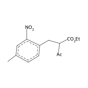 CCOC(=O)C(Cc1ccc(C)cc1[N+](=O)[O-])C(C)=O